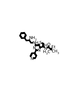 CCC(C)(C)C(=O)Nc1csc2c(NC[C@H](N)Cc3ccccc3)nc(-c3ccncc3)nc12